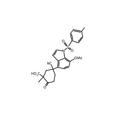 COc1ccc(C2(C#N)CCC(=O)C(C)(C(=O)O)C2)c2ccn(S(=O)(=O)c3ccc(C)cc3)c12